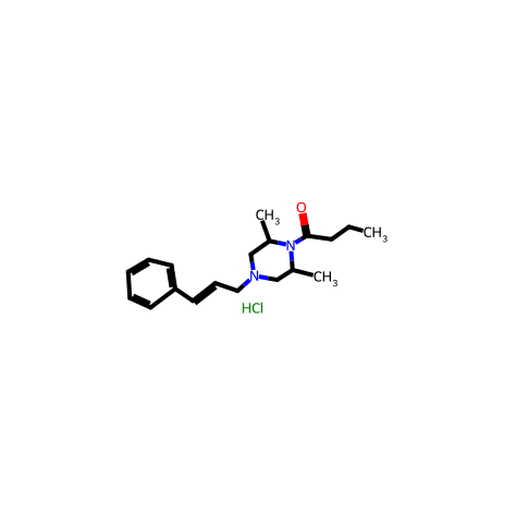 CCCC(=O)N1C(C)CN(CC=Cc2ccccc2)CC1C.Cl